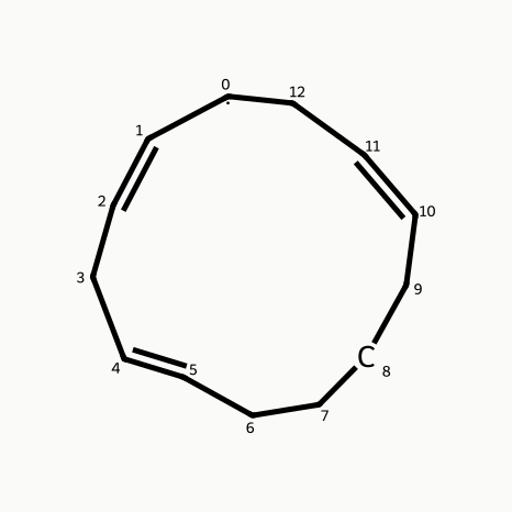 [CH]1C=CCC=CCCCCC=CC1